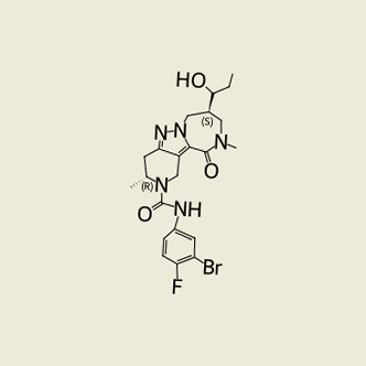 CCC(O)[C@H]1CN(C)C(=O)c2c3c(nn2C1)C[C@@H](C)N(C(=O)Nc1ccc(F)c(Br)c1)C3